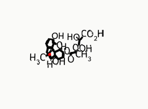 CC1CC[C@]23c4c5ccc(O)c4O[C@H]2C(OC(=O)[C@H](C)OC(O)[C@@H](O)CC(=O)O)=CC[C@@]3(O)[C@H]1C5